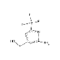 Nc1cc(CO)cc(C(F)(F)F)n1